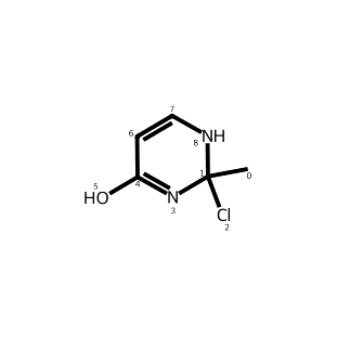 CC1(Cl)N=C(O)C=CN1